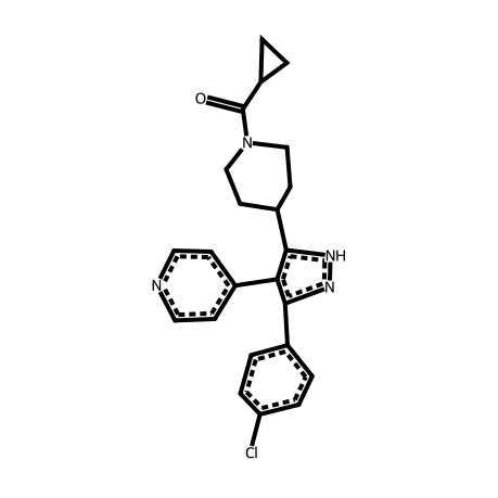 O=C(C1CC1)N1CCC(c2[nH]nc(-c3ccc(Cl)cc3)c2-c2ccncc2)CC1